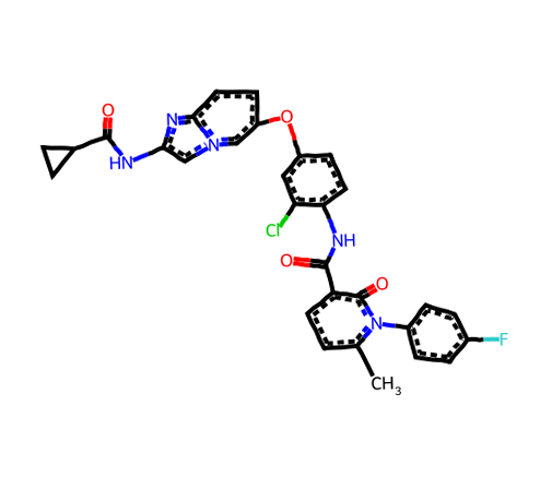 Cc1ccc(C(=O)Nc2ccc(Oc3ccc4nc(NC(=O)C5CC5)cn4c3)cc2Cl)c(=O)n1-c1ccc(F)cc1